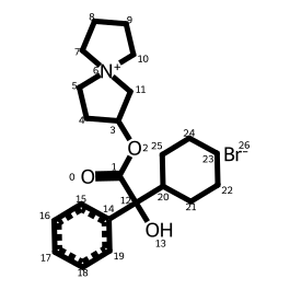 O=C(OC1CC[N+]2(CCCC2)C1)C(O)(c1ccccc1)C1CCCCC1.[Br-]